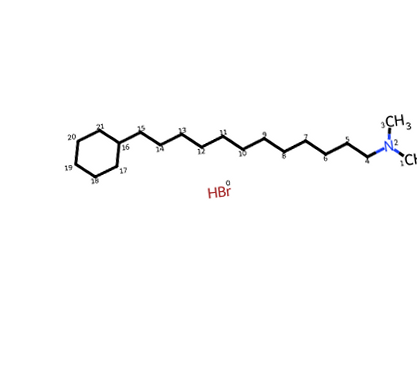 Br.CN(C)CCCCCCCCCCCCC1CCCCC1